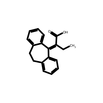 CCC(C(=O)O)=C1c2ccccc2CCc2ccccc21